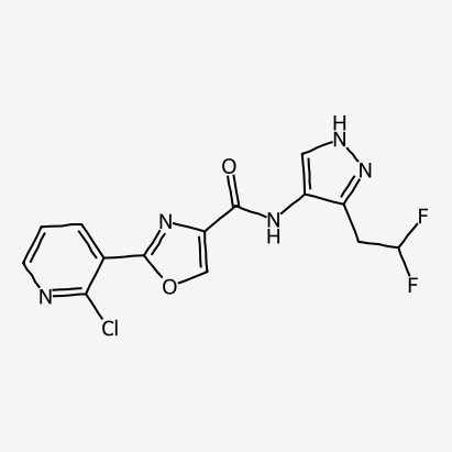 O=C(Nc1c[nH]nc1CC(F)F)c1coc(-c2cccnc2Cl)n1